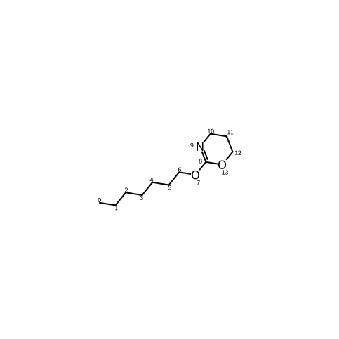 CCCCCCCOC1=NCCCO1